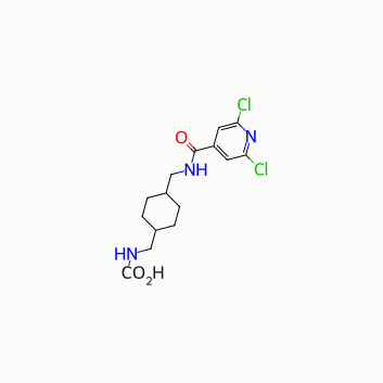 O=C(O)NCC1CCC(CNC(=O)c2cc(Cl)nc(Cl)c2)CC1